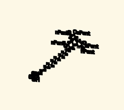 CCCCCOc1cc2c3cc(OCCCCC)c(OCCCCC)cc3c3cc(SCCCCCCCCCCCCCCCCCCP(=O)(O)O)c(OCCCCC)cc3c2cc1OCCCCC